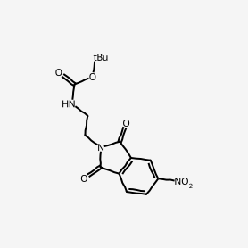 CC(C)(C)OC(=O)NCCN1C(=O)c2ccc([N+](=O)[O-])cc2C1=O